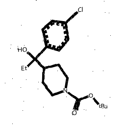 CCC(O)(c1ccc(Cl)cc1)C1CCN(C(=O)OC(C)(C)C)CC1